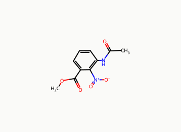 COC(=O)c1cccc(NC(C)=O)c1[N+](=O)[O-]